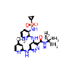 BC(B)(B)NC(=O)c1nnc(Nc2cc(C)ccn2)cc1Nc1ncccc1NS(=O)(=O)C1CC1